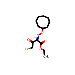 CCOC(=O)/C(=N\OC1CCCCCCC1)C(=O)CBr